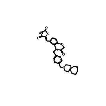 O=C1NC(=O)C(=Cc2ccc3c(c2)N(Cc2ccc(CN4CCC5(CCCCC5)CC4)cc2)C(=O)CO3)S1